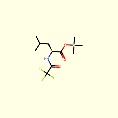 CC(C)C[C@H](NC(=O)C(F)(F)F)C(=O)O[Si](C)(C)C